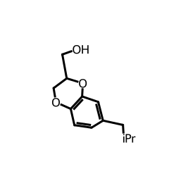 CC(C)Cc1ccc2c(c1)OC(CO)CO2